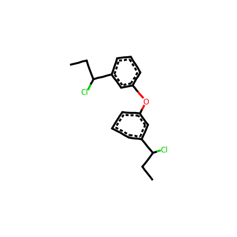 CCC(Cl)c1cccc(Oc2cccc(C(Cl)CC)c2)c1